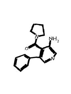 Nc1cn[c]c(-c2ccccc2)c1C(=O)N1CCCC1